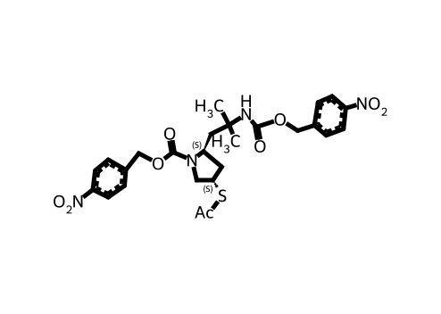 CC(=O)S[C@H]1C[C@H](CC(C)(C)NC(=O)OCc2ccc([N+](=O)[O-])cc2)N(C(=O)OCc2ccc([N+](=O)[O-])cc2)C1